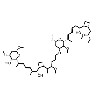 CC[C@H](OC)[C@@H](C)[C@H]1CC[C@@H]1[C@H](O)[C@@H](C)/C=C/C=C(\C)[C@H]1O[C@@H](OC)C[C@H](OCCC[C@H](OC)[C@@H](C)[C@H]2CC[C@@H]2[C@H](O)[C@@H](C)/C=C/C=C(\C)[C@H]2O[C@@H](OC)C[C@H](OC)[C@H]2OC)[C@@H]1OC